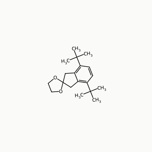 CC(C)(C)c1ccc(C(C)(C)C)c2c1CC1(C2)OCCO1